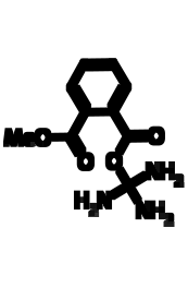 COC(=O)c1ccccc1C(=O)OC(N)(N)N